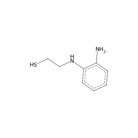 Nc1ccccc1NCCS